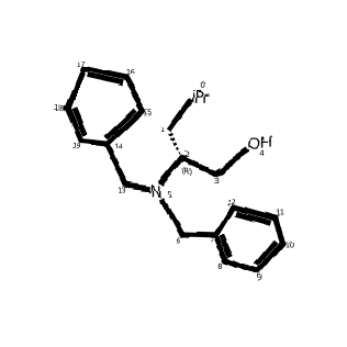 CC(C)C[C@H](CO)N(Cc1ccccc1)Cc1ccccc1